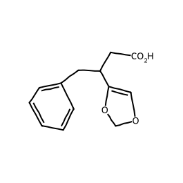 O=C(O)CC(Cc1ccccc1)C1=COCO1